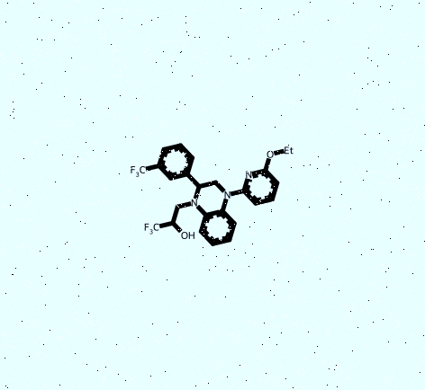 CCOc1cccc(N2CC(c3cccc(C(F)(F)F)c3)N(CC(O)C(F)(F)F)c3ccccc32)n1